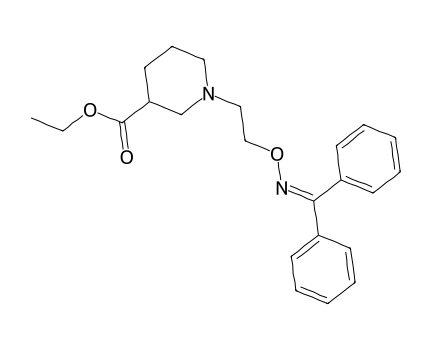 CCOC(=O)C1CCCN(CCON=C(c2ccccc2)c2ccccc2)C1